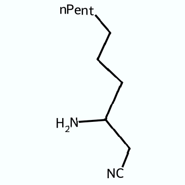 CCCCCCCCC(N)CC#N